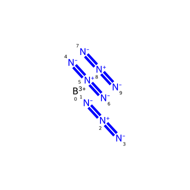 [B+3].[N-]=[N+]=[N-].[N-]=[N+]=[N-].[N-]=[N+]=[N-]